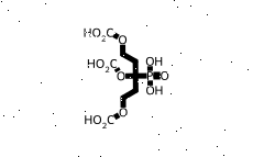 O=C(O)OCCC(CCOC(=O)O)(OC(=O)O)P(=O)(O)O